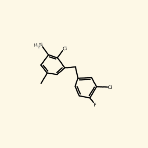 Cc1cc(N)c(Cl)c(Cc2ccc(F)c(Cl)c2)c1